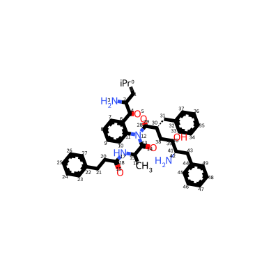 CC(C)CC(N)C(=O)c1ccccc1N(C(=O)C(C)NC(=O)CCc1ccccc1)C(=O)[C@H](Cc1ccccc1)C[C@H](O)[C@@H](N)Cc1ccccc1